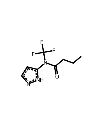 CCCC(=O)N(c1ccn[nH]1)C(F)(F)F